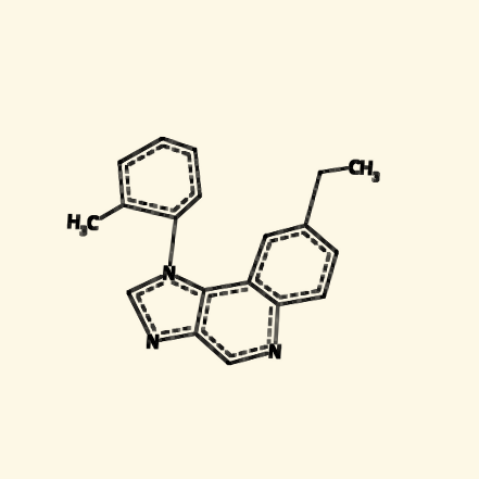 CCc1ccc2ncc3ncn(-c4ccccc4C)c3c2c1